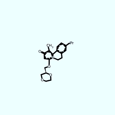 Cc1c2n(c(OC[C@@H]3COCCO3)cc1=O)CCc1cc(C(C)C)ccc1-2